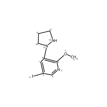 COc1ncc(F)cc1N1CCCN1